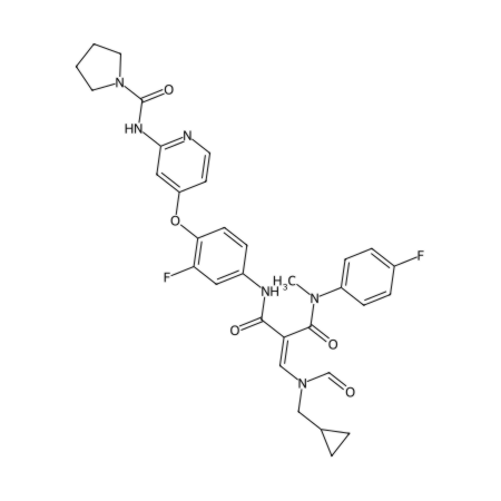 CN(C(=O)/C(=C\N(C=O)CC1CC1)C(=O)Nc1ccc(Oc2ccnc(NC(=O)N3CCCC3)c2)c(F)c1)c1ccc(F)cc1